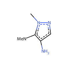 CNc1c(N)cnn1C